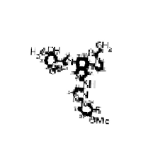 C=CC(=O)N1CCC[C@H]1c1ccc(N2CC([C@@H]3C[C@@](C)(O)CCS3(=O)=O)C2)c2cnc(Nc3ccnc(N4CC[C@@H](OC)[C@@H](F)C4)n3)cc12